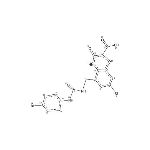 O=C(NCc1cc(Cl)cc2cc(C(=O)O)c(=O)[nH]c12)Nc1ccc(Br)cc1